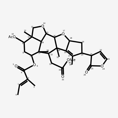 C/C=C(\C)C(=O)OC1CC(OC(C)=O)C2(C)COC3C4OC5CC(C6C=COC6=O)C(C)=C5C4(C)C(CC(=O)OC)C1(C)C32